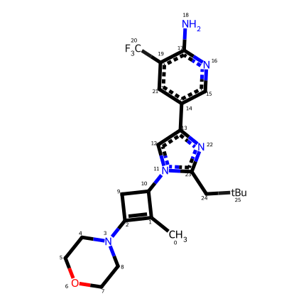 CC1=C(N2CCOCC2)CC1n1cc(-c2cnc(N)c(C(F)(F)F)c2)nc1CC(C)(C)C